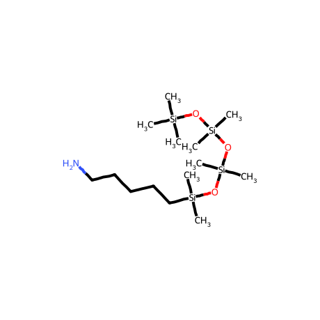 C[Si](C)(C)O[Si](C)(C)O[Si](C)(C)O[Si](C)(C)CCCCCN